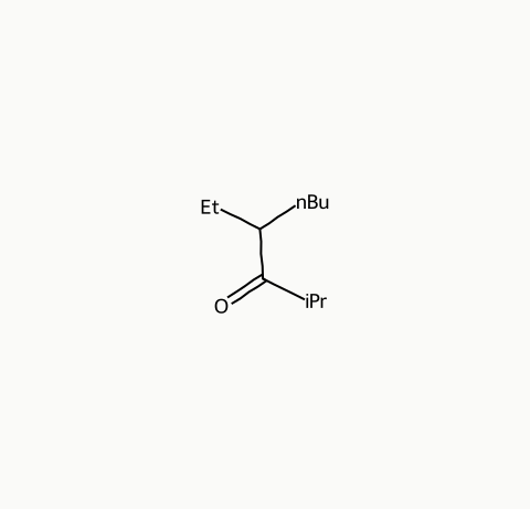 [CH2]C(C)C(=O)C(CC)CCCC